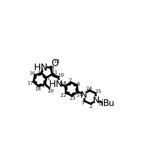 CCC(C)N1CCN(c2ccc(N/C=C3/C(=O)Nc4cccc(C)c43)cc2)CC1